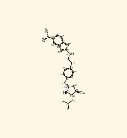 CC(C)C[C@@H]1N/C(=N/c2ccc(CCNc3nc4ccc([N+](=O)[O-])cc4s3)cc2)SC1=O